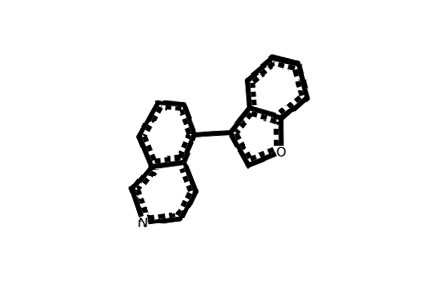 [c]1oc2ccccc2c1-c1cccc2cnccc12